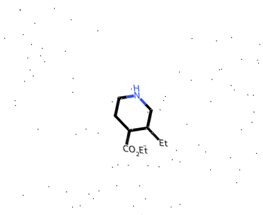 CCOC(=O)C1CCNCC1CC